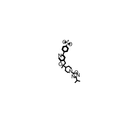 CC(C)c1noc(N2CCC(C3(C)Cc4cc(-c5ccc(S(C)(=O)=O)cc5)ncc4O3)CC2)n1